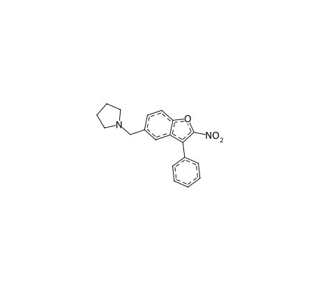 O=[N+]([O-])c1oc2ccc(CN3CCCC3)cc2c1-c1ccccc1